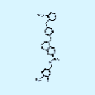 Cc1ccc(CNC(=O)c2ccc3c(c2)CCCN3Cc2ccc(Cc3ccccc3C(=O)O)cc2)cc1F